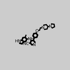 Cc1cc2[nH]ccc2cc1Nc1c(C#N)cncc1-c1ccc(OCCN2CCC(N3CCCC3)CC2)cc1